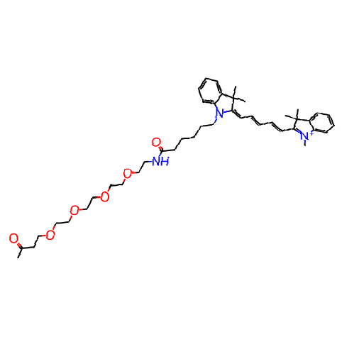 CC(=O)CCOCCOCCOCCOCCNC(=O)CCCCCN1/C(=C/C=C/C=C/C2=[N+](C)c3ccccc3C2(C)C)C(C)(C)c2ccccc21